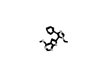 CCn1cnc(-c2ccccc2)c1-c1cc2c(SC)ncnc2s1